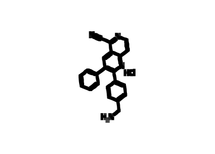 Cl.N#Cc1nccc2nc(-c3ccc(CN)cc3)c(-c3ccccc3)cc12